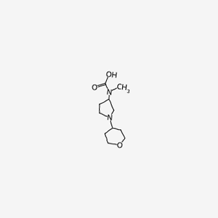 CN(C(=O)O)C1CCN(C2CCOCC2)C1